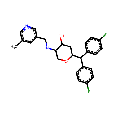 Cc1cncc(CNC2COC(C(c3ccc(F)cc3)c3ccc(F)cc3)CC2O)c1